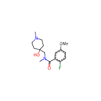 COc1ccc(F)c(C(=O)N(C)CC2(O)CCN(C)CC2)c1